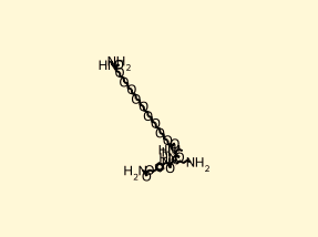 CC(C)[C@H](NC(=O)COCCOCCOCCOCCOCCOCCOCCOCCOCC(=O)NN)C(=O)N[C@@H](CCCCN)C(=O)Nc1ccc(COC(N)=O)cc1